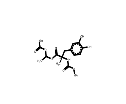 CC(OC(=O)C(C)(C)C)OC(=O)[C@](C)(Cc1ccc(O)c(O)c1)NC(=O)OC(C)(C)C